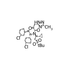 Cc1n[nH]c(C[C@@H]2O[C@H](c3cccc(Cl)c3)[C@@H](c3ccc(Cl)cc3)N([C@H](CS(=O)(=O)C(C)(C)C)C3CC3)C2=O)n1